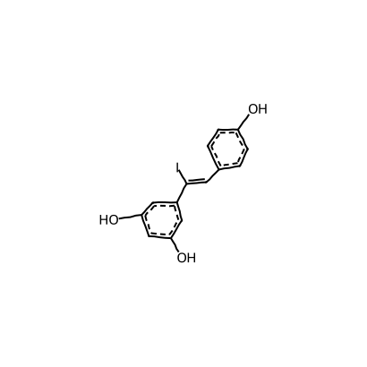 Oc1ccc(C=C(I)c2cc(O)cc(O)c2)cc1